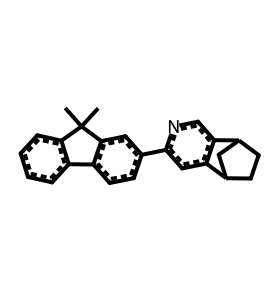 CC1(C)c2ccccc2-c2ccc(-c3cc4c(cn3)C3CCC4C3)cc21